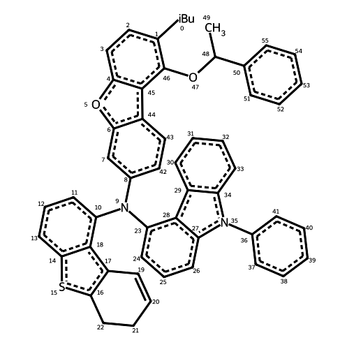 CCC(C)c1ccc2oc3cc(N(c4cccc5sc6c(c45)C=CCC6)c4cccc5c4c4ccccc4n5-c4ccccc4)ccc3c2c1OC(C)c1ccccc1